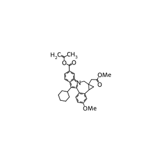 C=C(C)OC(=O)c1ccc2c(C3CCCCC3)c3n(c2c1)CC1(CC(=O)OC)CC1c1cc(OC)ccc1-3